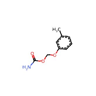 Cc1cccc(OCOC(N)=O)c1